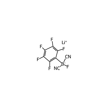 N#C[B-](F)(C#N)c1c(F)c(F)c(F)c(F)c1F.[Li+]